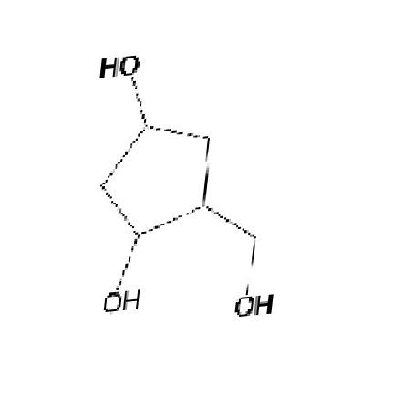 OCC1CC(O)CC1O